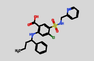 CCCC(Nc1cc(Cl)c(S(=O)(=O)NCc2ccccn2)cc1C(=O)O)c1ccccc1